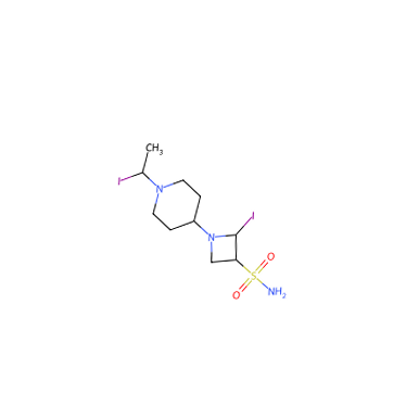 CC(I)N1CCC(N2CC(S(N)(=O)=O)C2I)CC1